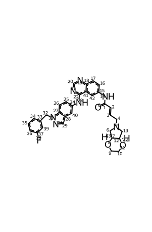 O=C(/C=C/CN1C[C@@H]2OCCO[C@@H]2C1)Nc1ccc2ncnc(Nc3ccc4c(cnn4Cc4cccc(F)c4)c3)c2c1